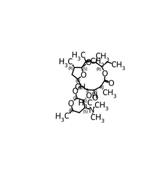 C=C(C)[C@]12OC(C)[C@@H](CC)OC(=O)[C@H](C)[C@@H](OC)C[C@@H](O[C@@H]3O[C@H](C)C[C@H](N(C)C)[C@H]3O)[C@@](C)(C[C@H]1C)O2